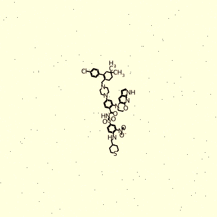 CC1(C)CCC(CN2CCN(c3ccc(C(=O)NS(=O)(=O)c4ccc(NCC5CCSCC5)c([N+](=O)[O-])c4)c(N4CCOc5nc6[nH]ccc6cc54)c3)CC2)=C(c2ccc(Cl)cc2)C1